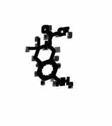 CC1(C)Cc2ccc(N)cc2CN1C(=O)C(F)(F)F